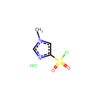 Cl.Cn1cnc(S(=O)(=O)Cl)c1